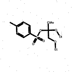 CCOCC(OC)(OCC)OS(=O)(=O)c1ccc(C)cc1